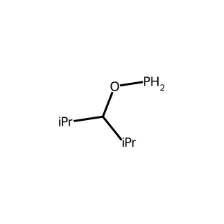 CC(C)C(OP)C(C)C